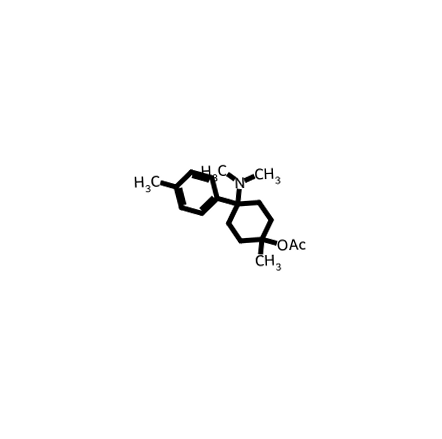 CC(=O)OC1(C)CCC(c2ccc(C)cc2)(N(C)C)CC1